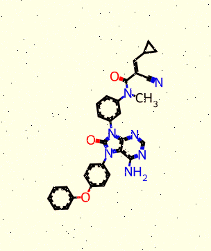 CN(C(=O)C(C#N)=CC1CC1)c1cccc(-n2c(=O)n(-c3ccc(Oc4ccccc4)cc3)c3c(N)ncnc32)c1